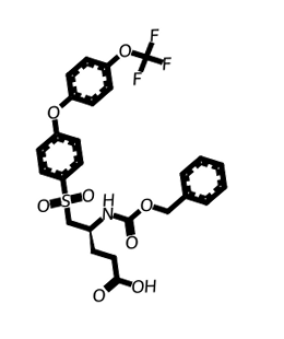 O=C(O)CC[C@@H](CS(=O)(=O)c1ccc(Oc2ccc(OC(F)(F)F)cc2)cc1)NC(=O)OCc1ccccc1